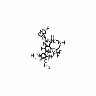 Cc1c(F)c(N)cc(-c2nc3c4c(nc(OC[C@@]56CCCN5C[C@H](F)C6)nc4c2F)NCCNCC[C@@H](C(F)(F)F)O3)c1C(F)(F)F